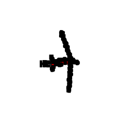 CCCCCCCCCCCCCCCCP(CCCC)(CCCC)(CCCC)CCCCCCCCCCCCCCCC.CCCC[P+](CCCC)(CCCC)CCCC.Cl.[Br-]